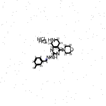 Cc1cccc(/C=N/Nc2nc3c(c(N4CCOCC4)n2)CCNC3)c1.Cl.Cl